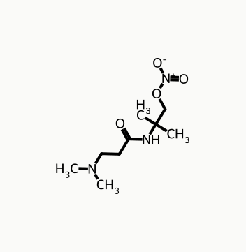 CN(C)CCC(=O)NC(C)(C)CO[N+](=O)[O-]